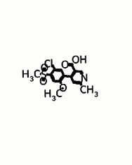 COc1cc(S(C)(=O)=O)c(Cl)cc1-c1cc(C)ncc1C(=O)O